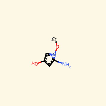 CCOn1cc(O)cc1N